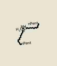 CCCCC/C=C\C/C=C\CCCCCCCCOC(OCCCCCCCC/C=C\C/C=C\CCCCC)[C@H](C)N